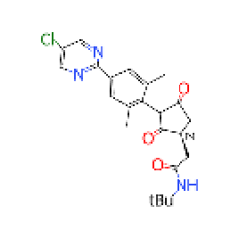 Cc1cc(-c2ncc(Cl)cn2)cc(C)c1C1C(=O)C[C@@H](CC(=O)NC(C)(C)C)C1=O